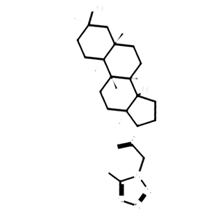 Cc1nnnn1CC(=O)[C@H]1CC[C@H]2[C@@H]3CC[C@H]4C[C@](C)(O)CC[C@@H]4[C@H]3CC[C@]12C